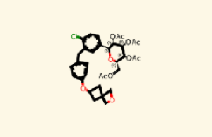 CC(=O)OC[C@H]1O[C@@H](c2ccc(Cl)c(Cc3ccc(OC4CC5(COC5)C4)cc3)c2)[C@H](OC(C)=O)[C@@H](OC(C)=O)[C@@H]1OC(C)=O